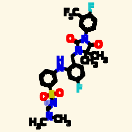 CN(C)/C=N/S(=O)(=O)c1cccc(Nc2cc(F)ccc2CN2C(=O)N(c3ccc(F)c(C(F)(F)F)c3)C(=O)C2(C)C)c1